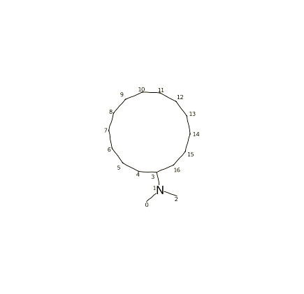 CN(C)C1CCCCCCCCCCCCC1